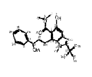 CN(C)C(=O)c1c(O)cc2nc(C(F)(F)F)n(C)c2c1CCC(O)c1ccccc1